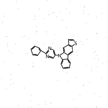 c1ccc(-c2ncc(-n3c4ccccc4c4cc5sccc5cc43)cn2)cc1